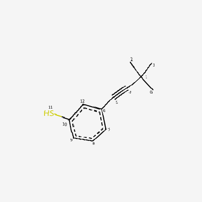 CC(C)(C)C#Cc1cccc(S)c1